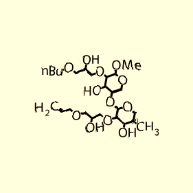 C=CCOCC(O)COC1C(OC2COC(OC)C(OCC(O)COCCCC)C2O)OC[C@@H](C)C1O